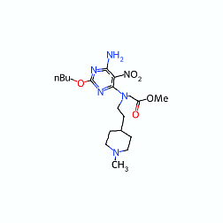 CCCCOc1nc(N)c([N+](=O)[O-])c(N(CCC2CCN(C)CC2)CC(=O)OC)n1